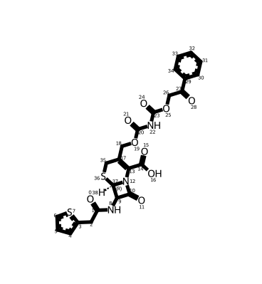 O=C(Cc1cccs1)NC1C(=O)N2C(C(=O)O)=C(COC(=O)NC(=O)OCC(=O)c3ccccc3)CS[C@H]12